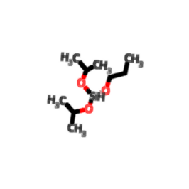 CCCO[SiH](OC(C)C)OC(C)C